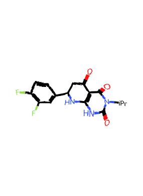 CC(C)n1c(=O)[nH]c2c(c1=O)C(=O)CC(c1ccc(F)c(F)c1)N2